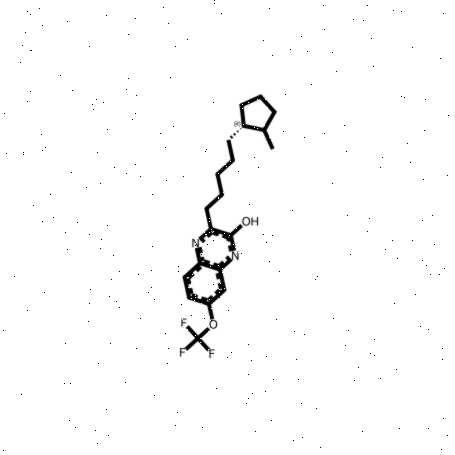 CC1CCC[C@H]1CCCCCc1nc2ccc(OC(F)(F)F)cc2nc1O